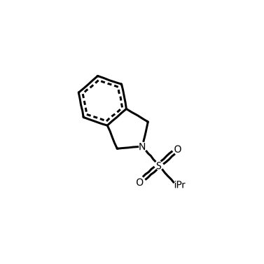 CC(C)S(=O)(=O)N1Cc2ccccc2C1